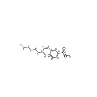 CCCCCCc1ccc2cc(C(=O)OC)ccc2c1